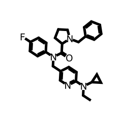 CCN(c1ccc(CN(C(=O)C2CCCN2Cc2ccccc2)c2ccc(F)cc2)cn1)C1CC1